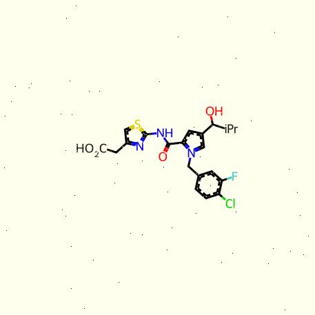 CC(C)C(O)c1cc(C(=O)Nc2nc(CC(=O)O)cs2)n(Cc2ccc(Cl)c(F)c2)c1